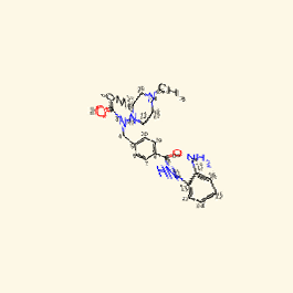 COC(=O)N(Cc1ccc(C(=O)Nc2ccccc2N)cc1)N1CCN(C)CC1